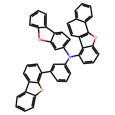 c1cc(-c2cccc3c2sc2ccccc23)cc(N(c2ccc3c(c2)oc2ccccc23)c2cccc3oc4c5ccccc5ccc4c23)c1